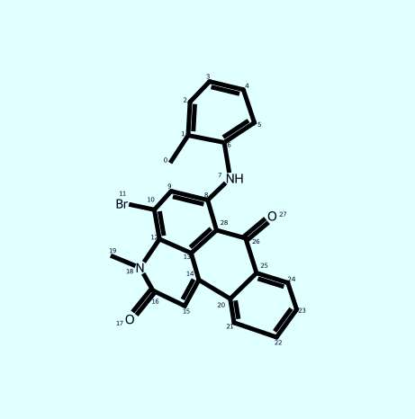 Cc1ccccc1Nc1cc(Br)c2c3c(cc(=O)n2C)-c2ccccc2C(=O)c13